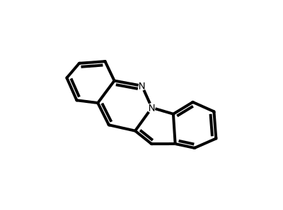 c1ccc2nn3c(cc2c1)cc1ccccc13